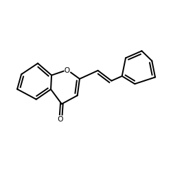 O=c1cc(C=Cc2ccccc2)oc2ccccc12